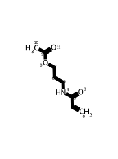 C=CC(=O)NCCCOC(C)=O